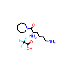 NCCCC[C@H](N)C(=O)N1CCCCCC1.O=C(O)C(F)(F)F